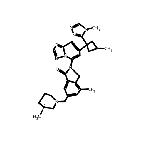 CC1CC(c2cc(N3Cc4c(cc(CN5CCC[C@H](C)C5)cc4C(F)(F)F)C3=O)n3ncnc3c2)(c2nncn2C)C1